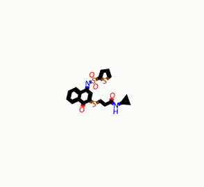 O=C(CCSC1=CC(=NS(=O)(=O)c2cccs2)c2ccccc2C1=O)NC1CC1